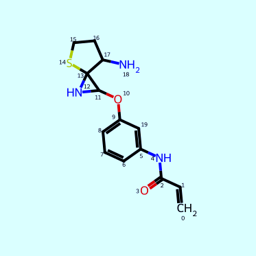 C=CC(=O)Nc1cccc(OC2NC23SCCC3N)c1